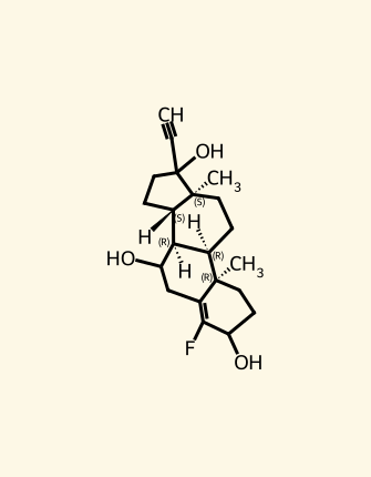 C#CC1(O)CC[C@H]2[C@@H]3C(O)CC4=C(F)C(O)CC[C@]4(C)[C@@H]3CC[C@@]21C